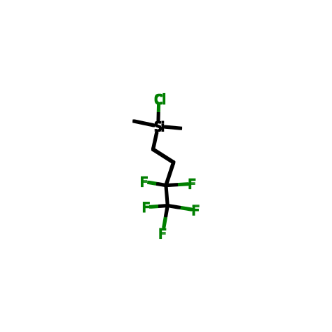 C[Si](C)(Cl)CCC(F)(F)C(F)(F)F